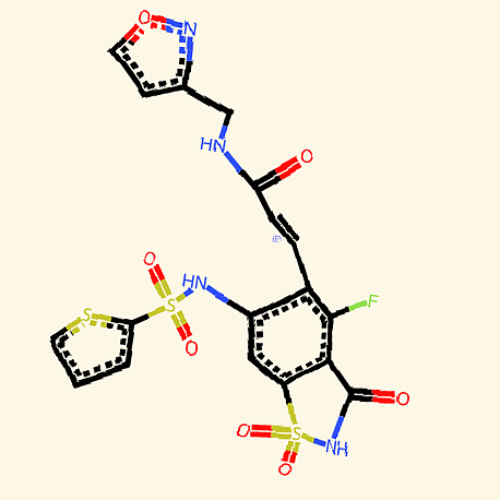 O=C(/C=C/c1c(NS(=O)(=O)c2cccs2)cc2c(c1F)C(=O)NS2(=O)=O)NCc1ccon1